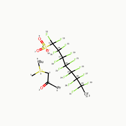 CC(C)C(=O)C[S+](C)C(C)(C)C.O=S(=O)([O-])C(F)(F)C(F)(F)C(F)(F)C(F)(F)C(F)(F)C(F)(F)C(F)(F)C(F)(F)F